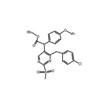 CC(C)Oc1ccc(N(C(=O)OC(C)(C)C)c2cnc(S(C)(=O)=O)nc2Cc2ccc(Cl)cc2)cc1